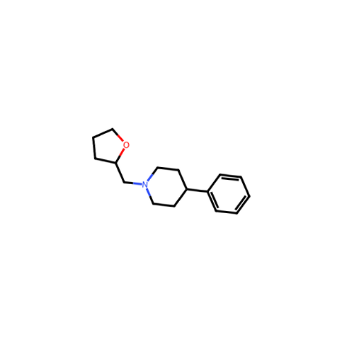 c1ccc(C2CCN(CC3CCCO3)CC2)cc1